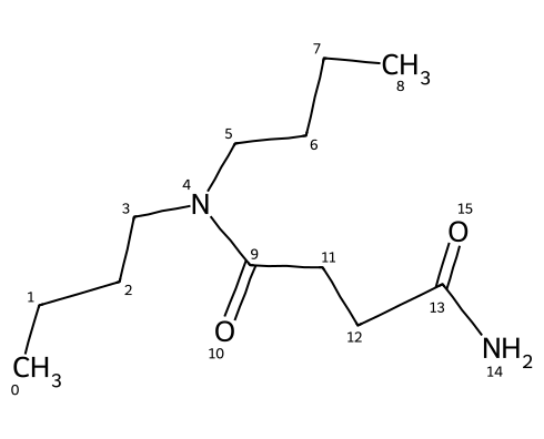 CCCCN(CCCC)C(=O)CCC(N)=O